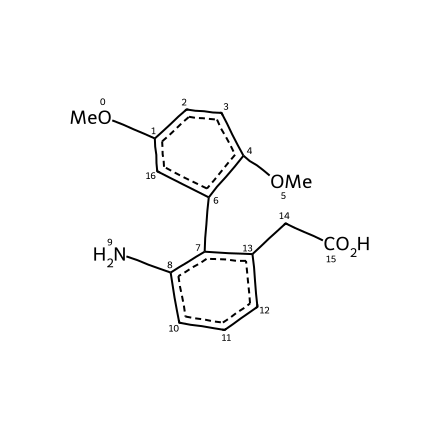 COc1ccc(OC)c(-c2c(N)cccc2CC(=O)O)c1